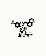 CON(C)C(=O)C[C@H](NS(=O)(=O)c1ccc(N(C)C)cc1OCCc1cccc2ncccc12)C(=O)OC(C)(C)C